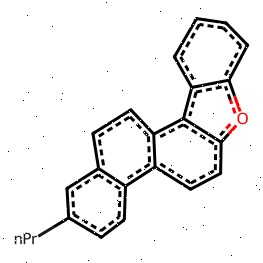 CCCc1ccc2c(ccc3c2ccc2oc4ccccc4c23)c1